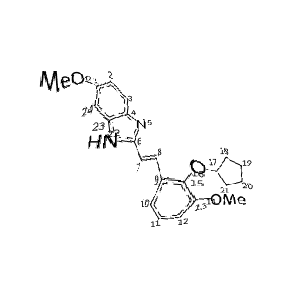 COc1ccc2nc(/C=C/c3cccc(OC)c3OC3CCCC3)[nH]c2c1